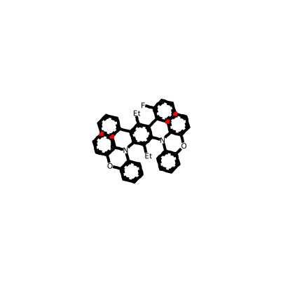 CCc1c(-c2ccccc2F)c(N2c3ccccc3Oc3ccccc32)c(CC)c(N2c3ccccc3Oc3ccccc32)c1-c1ccccc1F